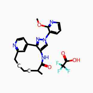 COc1ncccc1-n1cc2c(n1)-c1ccnc(c1)CCCCC(C)C(=O)N2.O=C(O)C(F)(F)F